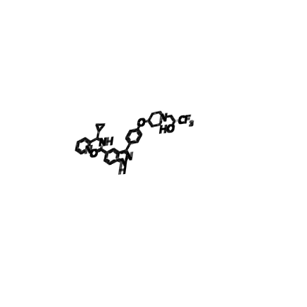 O=C(NC(c1ccccn1)C1CC1)c1ccc2[nH]nc(-c3ccc(OC4CCN(C[C@@H](O)C(F)(F)F)CC4)cc3)c2c1